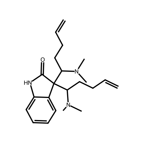 C=CCCC(N(C)C)C1(C(CCC=C)N(C)C)C(=O)Nc2ccccc21